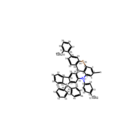 Cc1cc2c3c(c1)N(c1ccc(C(C)(C)C)cc1)c1cc4c(cc1B3c1ccc(-c3ccccc3C(C)(C)C)cc1S2)-c1ccccc1[Si]4(c1ccccc1)c1ccccc1